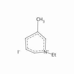 CC[n+]1cccc(C)c1.[I-]